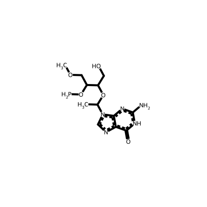 COCC(OP)C(CO)OC(C)n1cnc2c(=O)[nH]c(N)nc21